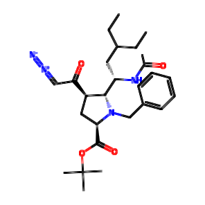 CCC(CC)C[C@H](NC(C)=O)[C@H]1[C@H](C(=O)C=[N+]=[N-])C[C@H](C(=O)OC(C)(C)C)N1Cc1ccccc1